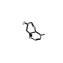 Cc1ccnc2cc(Cl)cnc12